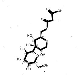 O=C(O)CC(=O)OC[C@H]1O[CH][C@H](O)[C@](O)([C@@H]2O[C@H](CO)[C@@H](O)[C@H](O)[C@H]2O)[C@@H]1O